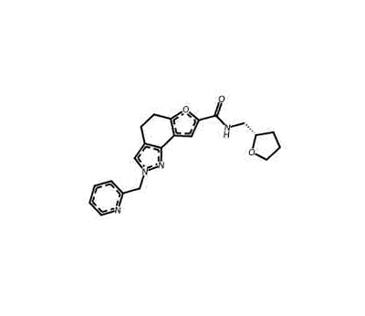 O=C(NC[C@@H]1CCCO1)c1cc2c(o1)CCc1cn(Cc3ccccn3)nc1-2